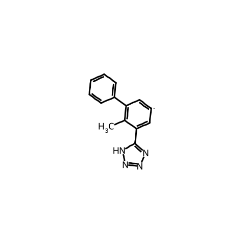 Cc1c(-c2ccccc2)c[c]cc1-c1nnn[nH]1